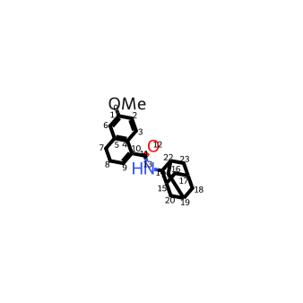 COc1ccc2c(c1)CCC=C2C(=O)NC1C2CC3CC(C2)CC1C3